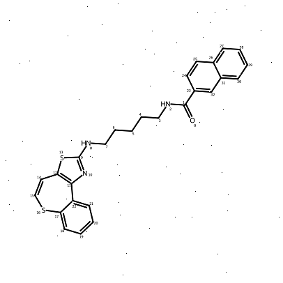 O=C(NCCCCCNc1nc2c(s1)C=CSc1ccccc1-2)c1ccc2ccccc2c1